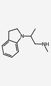 CNCC(C)N1CCc2ccccc21